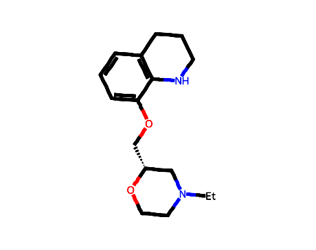 CCN1CCO[C@H](COc2cccc3c2NCCC3)C1